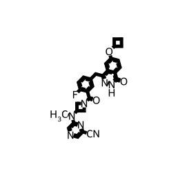 CN(c1cncc(C#N)n1)C1CN(C(=O)c2cc(Cc3n[nH]c(=O)c4ccc(OC5CCC5)cc34)ccc2F)C1